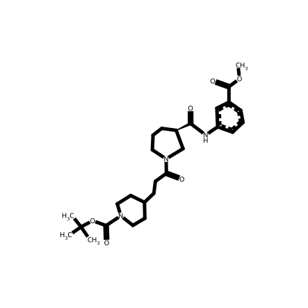 COC(=O)c1cccc(NC(=O)[C@@H]2CCCN(C(=O)CCC3CCN(C(=O)OC(C)(C)C)CC3)C2)c1